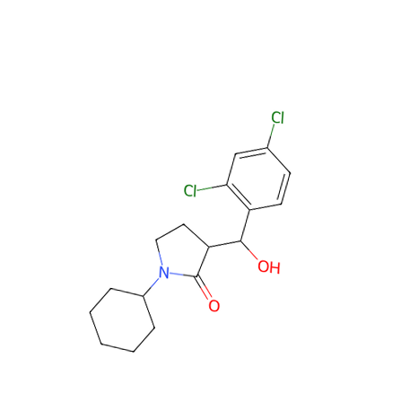 O=C1C(C(O)c2ccc(Cl)cc2Cl)CCN1C1CCCCC1